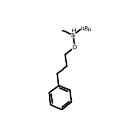 CCCC[SiH](C)OCCCc1ccccc1